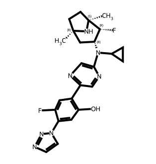 C[C@]12CC[C@](C)(N1)[C@H](F)[C@H](N(c1cnc(-c3cc(F)c(-n4ccnn4)cc3O)cn1)C1CC1)C2